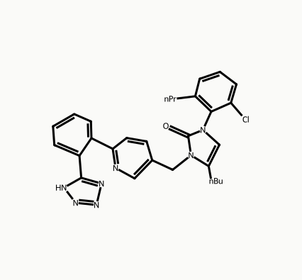 CCCCc1cn(-c2c(Cl)cccc2CCC)c(=O)n1Cc1ccc(-c2ccccc2-c2nnn[nH]2)nc1